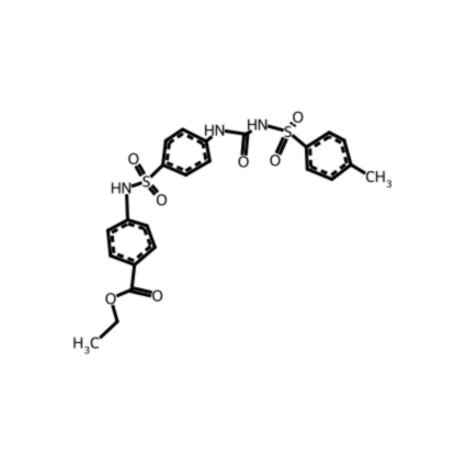 CCOC(=O)c1ccc(NS(=O)(=O)c2ccc(NC(=O)NS(=O)(=O)c3ccc(C)cc3)cc2)cc1